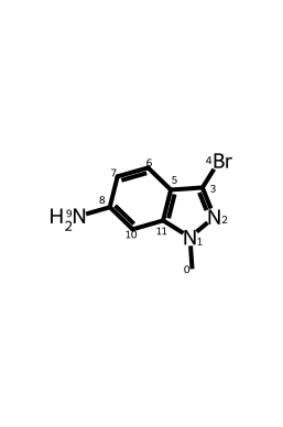 Cn1nc(Br)c2ccc(N)cc21